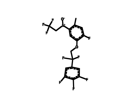 Cc1cc(F)c(OCC(F)(F)c2cc(F)c(F)c(F)c2)cc1[S+]([O-])CC(F)(F)F